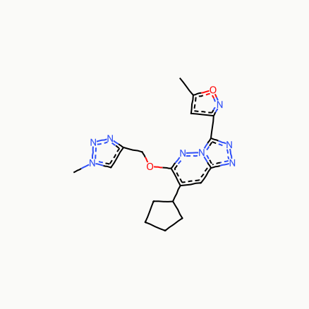 Cc1cc(-c2nnc3cc(C4CCCC4)c(OCc4cn(C)nn4)nn23)no1